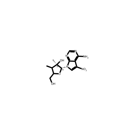 CC1C(CO)O[C@@H](n2cc([N+](=O)[O-])c3c(N)ncnc32)[C@]1(C)O